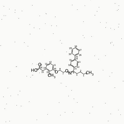 CCCCC(=NOCCOc1cccc(CC(=O)O)c1C)c1ccc(-c2ccccc2)cc1